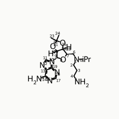 CC(C)N(CCCN)C[C@H]1O[C@@H](n2cnc3c(N)ncnc32)[C@@H]2OC(C)(C)O[C@@H]21